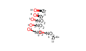 O=[N+]([O-])[O-].O=[N+]([O-])[O-].O=[N+]([O-])[O-].O=[N+]([O-])[O-].[O]=[Zr].[O]=[Zr].[Zr+4]